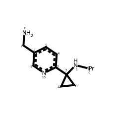 CC(C)NC1(c2ccc(CN)cn2)CC1